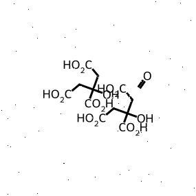 C=O.O=C(O)CC(O)(CC(=O)O)C(=O)O.O=C(O)CC(O)(CC(=O)O)C(=O)O